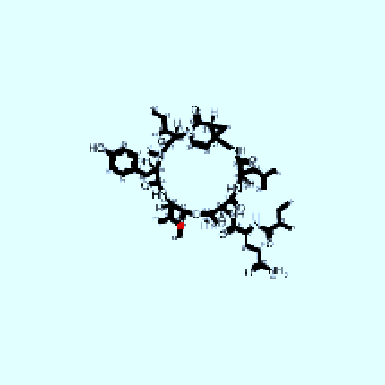 CCC(C)C(=O)N[C@@H](CCC(N)=O)C(=O)N[C@@H]1C(=O)N[C@@H](CC(C)C)C(=O)NC23C=CN(C(=O)[C@@H]2C3)[C@@H](C(C)CC)C(=O)N(C)[C@@H](Cc2ccc(O)cc2)C(=O)N[C@@H](C(C)CC)C(=O)O[C@@H]1C